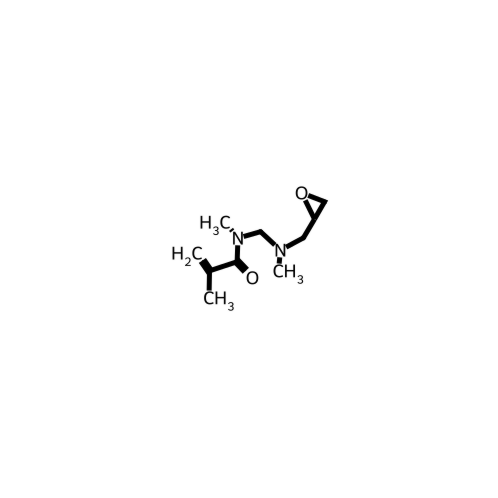 C=C(C)C(=O)N(C)CN(C)CC1CO1